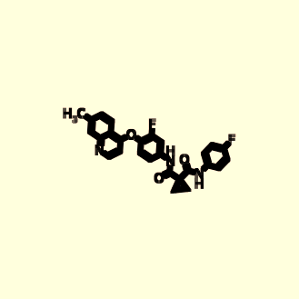 Cc1ccc2c(Oc3ccc(NC(=O)C4(C(=O)Nc5ccc(F)cc5)CC4)cc3F)ccnc2c1